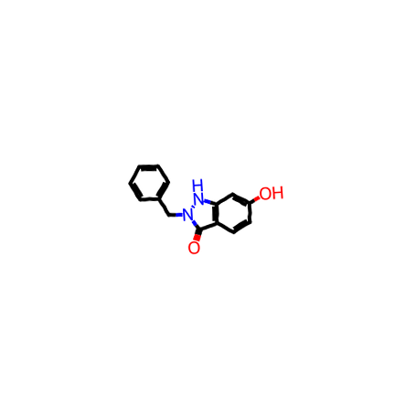 O=c1c2ccc(O)cc2[nH]n1Cc1ccccc1